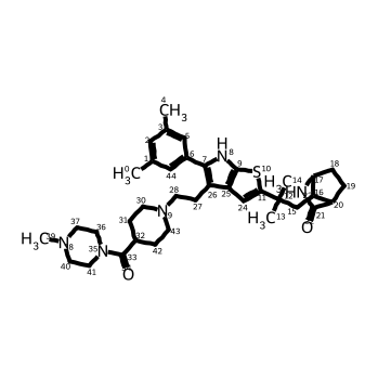 Cc1cc(C)cc(-c2[nH]c3sc(C(C)(C)CC4C5CCC4C(=O)N5)cc3c2CCN2CCC(C(=O)N3CCN(C)CC3)CC2)c1